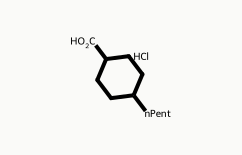 CCCCCC1CCC(C(=O)O)CC1.Cl